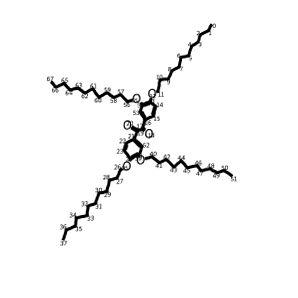 CCCCCCCCCCCCOc1ccc(C(=O)C(=O)c2ccc(OCCCCCCCCCCCC)c(OCCCCCCCCCCCC)c2)cc1OCCCCCCCCCCCC